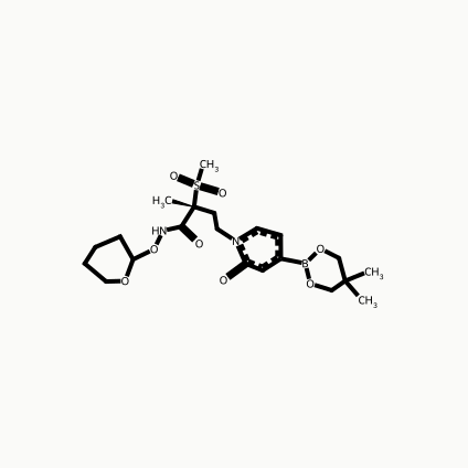 CC1(C)COB(c2ccn(CC[C@](C)(C(=O)NOC3CCCCO3)S(C)(=O)=O)c(=O)c2)OC1